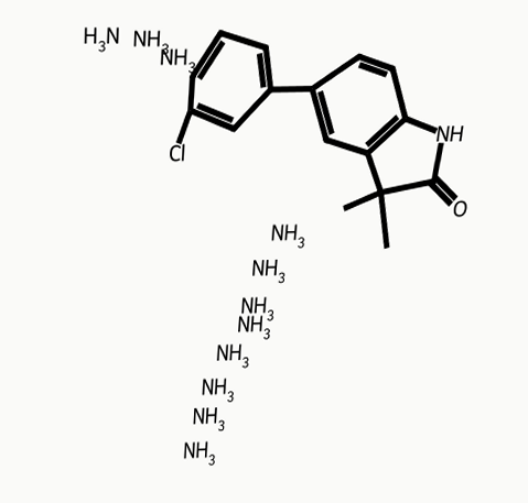 CC1(C)C(=O)Nc2ccc(-c3cccc(Cl)c3)cc21.N.N.N.N.N.N.N.N.N.N.N